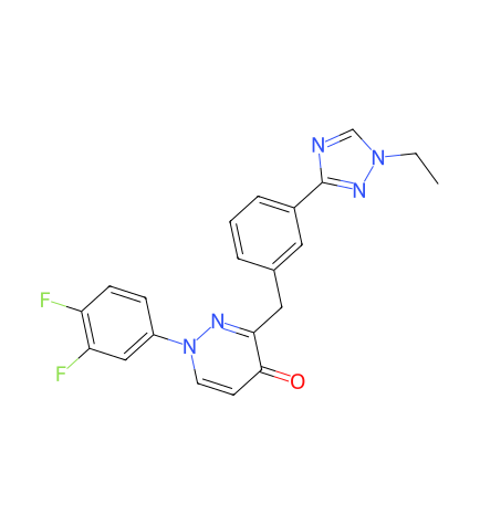 CCn1cnc(-c2cccc(Cc3nn(-c4ccc(F)c(F)c4)ccc3=O)c2)n1